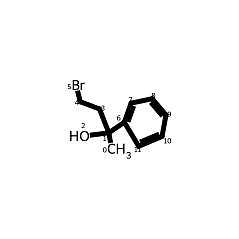 CC(O)([CH]CBr)c1ccccc1